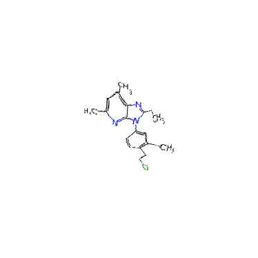 CCc1nc2c(C)cc(C)nc2n1-c1ccc(CCCl)c(C)c1